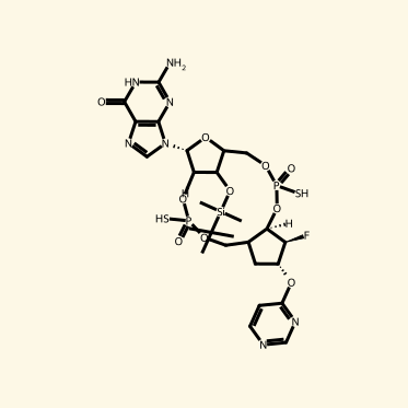 CC(C)(C)[Si](C)(C)OC1C2COP(=O)(S)O[C@@H]3C(COP(=O)(S)O[C@H]1[C@H](n1cnc4c(=O)[nH]c(N)nc41)O2)C[C@@H](Oc1ccncn1)[C@@H]3F